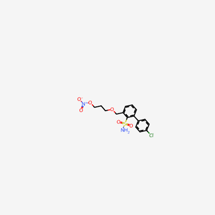 NS(=O)(=O)c1c(COCCCO[N+](=O)[O-])cccc1-c1ccc(Cl)cc1